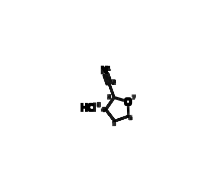 Cl.N#CC1CCCO1